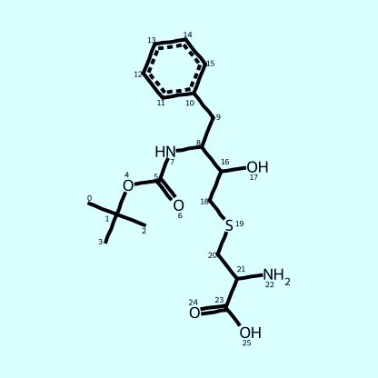 CC(C)(C)OC(=O)NC(Cc1ccccc1)C(O)CSCC(N)C(=O)O